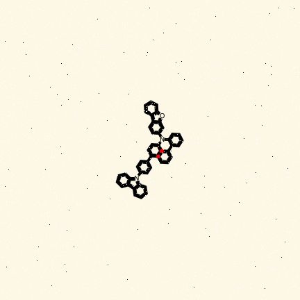 c1ccc(-c2ccccc2N(c2ccc(-c3ccc(-n4c5ccccc5c5ccccc54)cc3)cc2)c2ccc3c(c2)oc2ccccc23)cc1